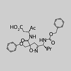 CC(=O)[C@H](CC(=O)O)NC(=O)C1(COc2ccccc2)CC([C@@H](NC(=O)OCc2ccccc2)C(C)C)=NO1